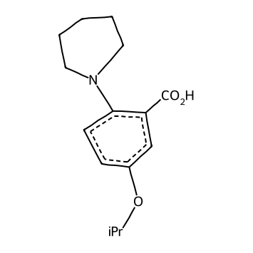 CC(C)Oc1ccc(N2CCCCC2)c(C(=O)O)c1